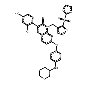 Cc1ccc(-c2cc3cnc(Nc4ccc(NC5CCCNC5)cc4)nc3n(Cc3cnoc3S(=O)(=O)c3nccs3)c2=O)c(Cl)c1